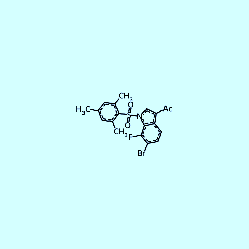 CC(=O)c1cn(S(=O)(=O)c2c(C)cc(C)cc2C)c2c(F)c(Br)ccc12